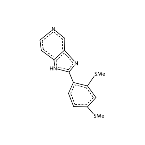 CSc1ccc(-c2nc3cnccc3[nH]2)c(SC)c1